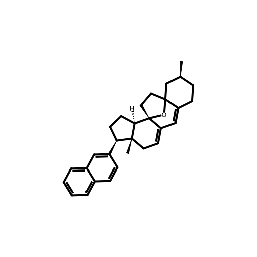 C[C@H]1CCC2=CC3=CC[C@]4(C)[C@@H](c5ccc6ccccc6c5)CC[C@H]4[C@@]34CCC2(C1)O4